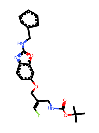 CC(C)(C)OC(=O)NC/C(=C\F)COc1ccc2nc(NCc3ccccc3)oc2c1